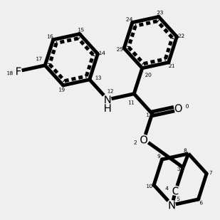 O=C(OC1CN2CCC1CC2)C(Nc1cccc(F)c1)c1ccccc1